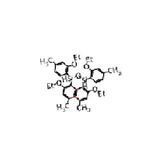 CCOc1cc(C)ccc1[SiH](O[SiH](c1ccc(C)cc1OCC)c1ccc(C)cc1OCC)c1ccc(C)cc1OCC